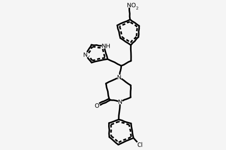 O=C1CN(C(Cc2ccc([N+](=O)[O-])cc2)c2cnc[nH]2)CCN1c1cccc(Cl)c1